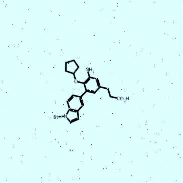 CCn1ccc2cc(-c3cc(CCC(=O)O)cc(N)c3OC3CCCC3)ccc21